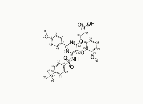 COc1ccc(-c2nc(NS(=O)(=O)c3ccc(C(C)(C)C)cc3)c(Oc3ccccc3OC)c(OCCC(=O)O)n2)cc1